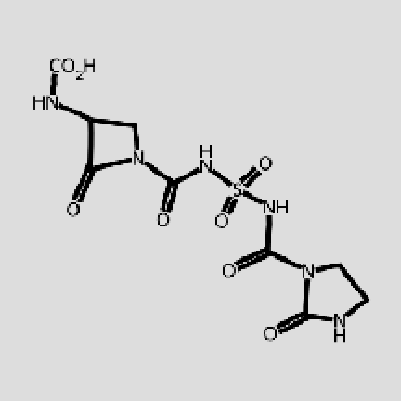 O=C(O)NC1CN(C(=O)NS(=O)(=O)NC(=O)N2CCNC2=O)C1=O